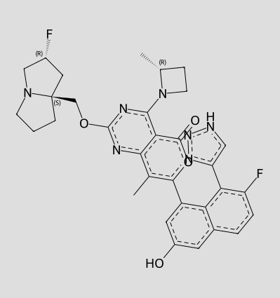 Cc1c(-c2cc(O)cc3ccc(F)c(-c4c[nH]nn4)c23)oc(=O)c2c(N3CC[C@H]3C)nc(OC[C@@]34CCCN3C[C@H](F)C4)nc12